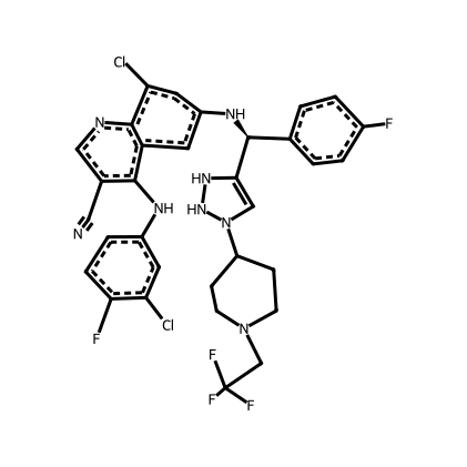 N#Cc1cnc2c(Cl)cc(N[C@H](C3=CN(C4CCN(CC(F)(F)F)CC4)NN3)c3ccc(F)cc3)cc2c1Nc1ccc(F)c(Cl)c1